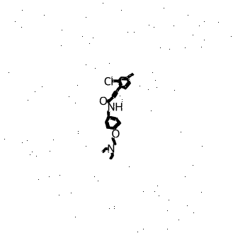 CCN(CC)CCOc1ccc(CNC(=O)C#Cc2ccc(C)cc2Cl)cc1